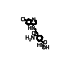 NC(=O)C1(CCCNc2ccnc3cc(Cl)ccc23)C=CC(C(=O)NO)=CC1